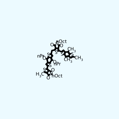 CCCCCCCCN1C(=O)c2c(C)sc(-c3cc4c(OCCC)c5sc(Cc6sc(-c7cc8c(C)c9sc(C)cc9c(C)c8s7)c7c6C(=O)N(CCCCCCCC)C7=O)cc5c(OCCC)c4s3)c2C1=O